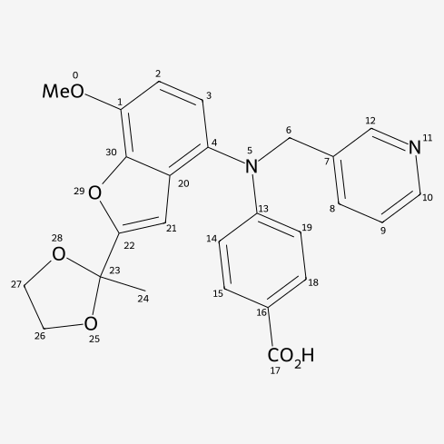 COc1ccc(N(Cc2cccnc2)c2ccc(C(=O)O)cc2)c2cc(C3(C)OCCO3)oc12